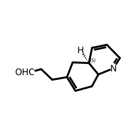 O=CCCC1=CCC2N=CC=C[C@@H]2C1